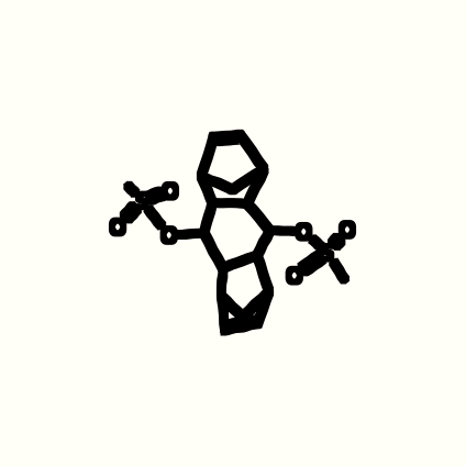 CS(=O)(=O)OC1C2C3C=CC(C3)C2C(OS(C)(=O)=O)C2C3C=CC(C3)C12